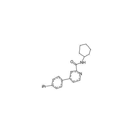 CC(C)c1ccc(-c2ccnc(C(=O)NC3CCCCC3)c2)cc1